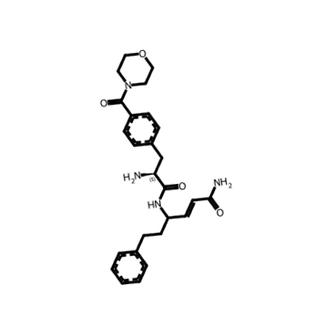 NC(=O)C=CC(CCc1ccccc1)NC(=O)[C@@H](N)Cc1ccc(C(=O)N2CCOCC2)cc1